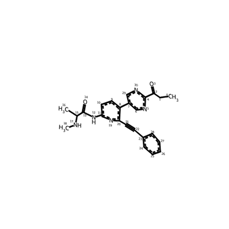 CCC(=O)c1ncc(-c2ccc(NC(=O)C(C)NC)nc2C#Cc2ccccc2)cn1